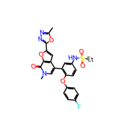 CCS(=O)(=O)Nc1ccc(Oc2ccc(F)cc2)c(-c2cn(C)c(=O)c3oc(-c4nnc(C)o4)cc23)c1